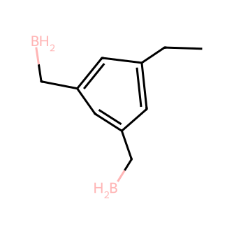 BCc1cc(CB)cc(CC)c1